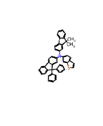 CC1(C)c2ccccc2-c2ccc(N(c3ccc4c(c3)C(c3ccccc3)(c3ccccc3)c3ccccc3-4)c3ccc4ccsc4c3)cc21